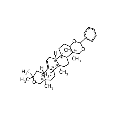 CC1(C)C[C@@H]2C3=CC[C@@H]4[C@@]5(C)CCC6OC(c7ccccc7)OC[C@@]6(C)C5CC[C@@]4(C)[C@]3(C)CC[C@@]2(C)CO1